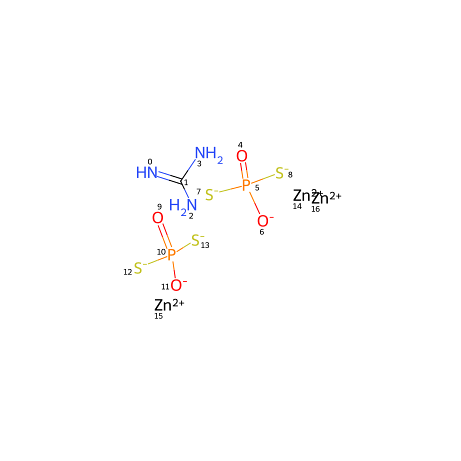 N=C(N)N.O=P([O-])([S-])[S-].O=P([O-])([S-])[S-].[Zn+2].[Zn+2].[Zn+2]